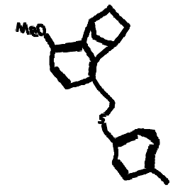 COc1ccc(CSc2ccc(C)cc2)c2c1C1CCC2C1